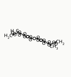 C=CC(=O)OCCC(C)OC(=O)CCC(=O)Oc1ccc(OC(=O)C2CCC(C(=O)Oc3ccc(OC(=O)CCC(=O)OC(C)CCOC(=O)C=C)cc3)CC2)cc1